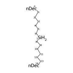 CCCCCCCCCCCCCCCC[SiH2]CCCCCCCCCCCCCCCC